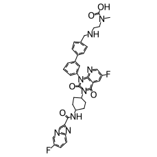 CN(CCNCc1ccc(-c2cccc(-n3c(=O)n(C4CCC(NC(=O)c5cn6cc(F)ccc6n5)CC4)c(=O)c4cc(F)cnc43)c2)cc1)C(=O)O